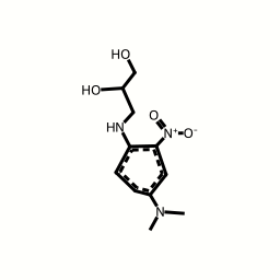 CN(C)c1ccc(NCC(O)CO)c([N+](=O)[O-])c1